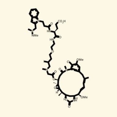 CNN(C)Cc1cc2ccccc2n1CCC(=O)N[C@@H](CCC(=O)O)C(=O)NCCOCCC(I)CN(C)CC(=O)O[C@H]1CC(=O)N(C)c2cc(cc(OC)c2Cl)C/C(C)=C/C=C/[C@@H](OC)[C@@]2(O)C[C@H](OC(=O)N2)[C@@H](C)[C@@H]2O[C@@]12C